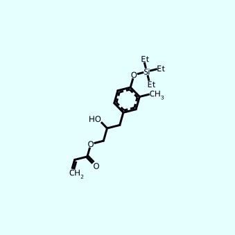 C=CC(=O)OCC(O)Cc1ccc(O[Si](CC)(CC)CC)c(C)c1